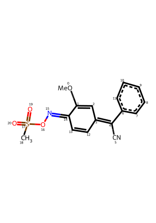 COC1=CC(=C(C#N)c2ccccc2)C=CC1=NOS(C)(=O)=O